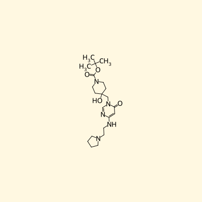 CC(C)(C)OC(=O)N1CCC(O)(Cn2cnc(NCCN3CCCC3)cc2=O)CC1